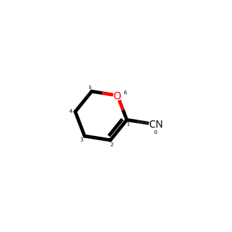 N#CC1=CCCCO1